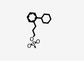 CS(=O)(=O)OCCCc1ccccc1C1CCCCC1